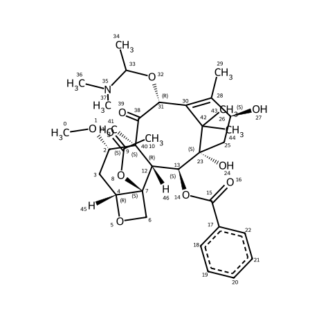 CO[C@H]1C[C@H]2OC[C@@]2(OC(C)=O)[C@H]2[C@H](OC(=O)c3ccccc3)[C@]3(O)C[C@H](O)C(C)=C([C@@H](OC(C)N(C)C)C(=O)[C@]12C)C3(C)C